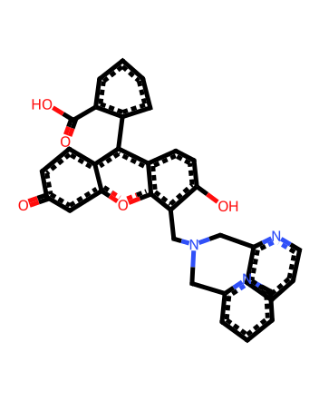 O=C(O)c1ccccc1-c1c2ccc(=O)cc-2oc2c(CN(Cc3ccccn3)Cc3ccccn3)c(O)ccc12